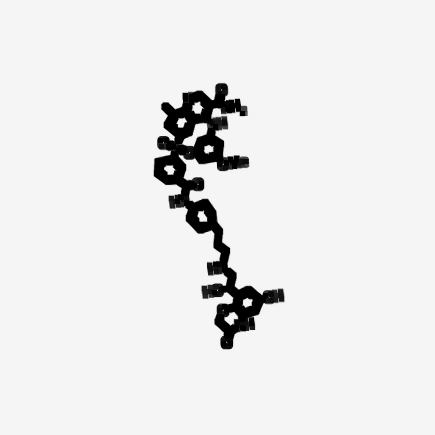 COc1cccc(Nc2c(C(N)=O)cnc3c(C)cc(S(=O)(=O)c4cccc(C(=O)Nc5ccc(CCCNC[C@H](O)c6cc(O)cc7c6OCC(=O)N7)cc5)c4)cc23)c1